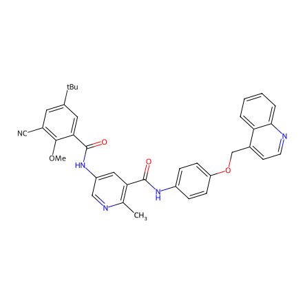 COc1c(C#N)cc(C(C)(C)C)cc1C(=O)Nc1cnc(C)c(C(=O)Nc2ccc(OCc3ccnc4ccccc34)cc2)c1